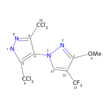 COc1nn(C2=C(C(Cl)(Cl)Cl)[N]N=C2C(Cl)(Cl)Cl)cc1C(F)(F)F